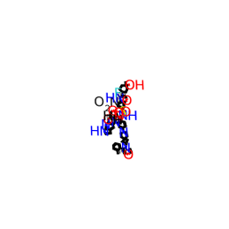 Cc1ccccc1[C@@H]1COCCN1C1CC2(CCN(c3ccc(C(=O)NS(=O)(=O)c4cc5c(c([N+](=O)[O-])c4)N[C@H](C4(F)CCC(C)(O)CC4)CO5)c(N4c5cc6cc[nH]c6nc5O[C@H]5COCC[C@@H]54)c3)CC2)C1